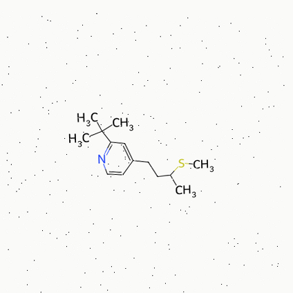 CSC(C)CCc1ccnc(C(C)(C)C)c1